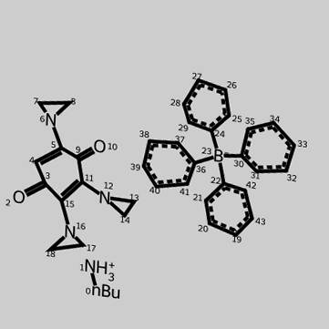 CCCC[NH3+].O=C1C=C(N2CC2)C(=O)C(N2CC2)=C1N1CC1.c1ccc([B-](c2ccccc2)(c2ccccc2)c2ccccc2)cc1